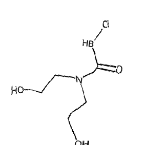 O=C(BCl)N(CCO)CCO